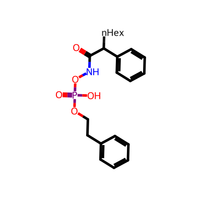 CCCCCCC(C(=O)NOP(=O)(O)OCCc1ccccc1)c1ccccc1